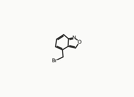 BrCc1cccc2nocc12